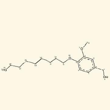 COc1cc(CO)ccc1OCCCCCCCCO